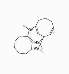 C[SiH]1C2=CC3(/C=C\CCC2)[SiH](C)C2=C1CCCCCC2[SiH]3C